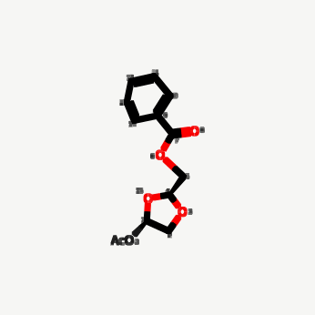 CC(=O)O[C@@H]1CO[C@H](COC(=O)c2ccccc2)O1